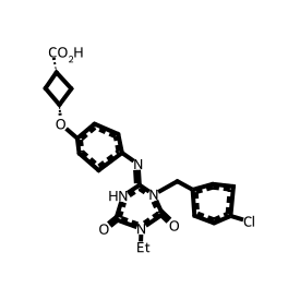 CCn1c(=O)[nH]/c(=N\c2ccc(O[C@H]3C[C@@H](C(=O)O)C3)cc2)n(Cc2ccc(Cl)cc2)c1=O